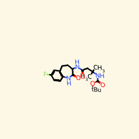 CC(C)(CC(=O)NC1CCc2cc(F)ccc2NC1=O)NC(=O)OC(C)(C)C